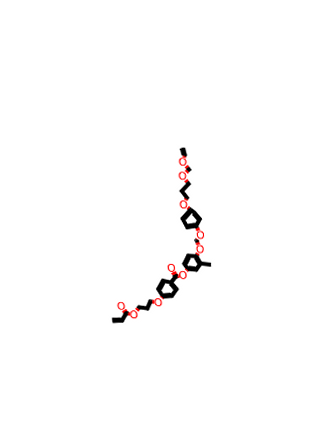 C=COCOCCCOc1ccc(OCOc2ccc(OC(=O)c3ccc(OCCCOC(=O)C=C)cc3)cc2C)cc1